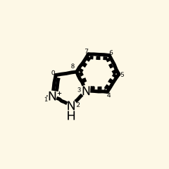 C1=[N+]N[n+]2ccccc21